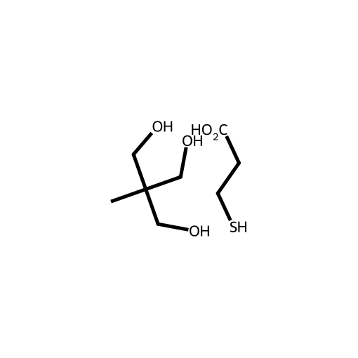 CC(CO)(CO)CO.O=C(O)CCS